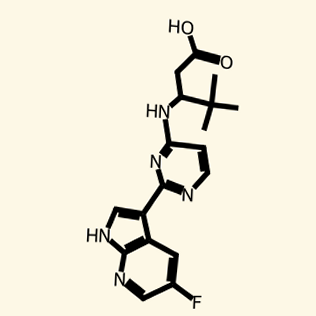 CC(C)(C)C(CC(=O)O)Nc1ccnc(-c2c[nH]c3ncc(F)cc23)n1